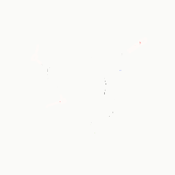 COc1cc(OC)cc(C2=C(c3c(F)cc(F)cc3F)NC(=O)CC2)c1